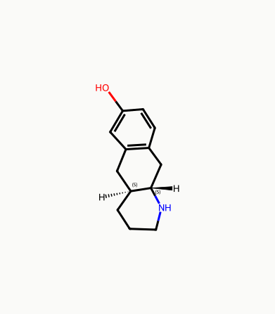 Oc1ccc2c(c1)C[C@@H]1CCCN[C@H]1C2